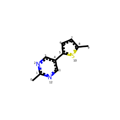 Cc1ncc(-c2ccc(C)s2)cn1